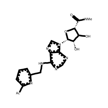 CNC(=O)[C@H]1O[C@@H](n2cnc3c(NCc4cccc(C(C)=O)n4)ncnc32)[C@@H](O)C1O